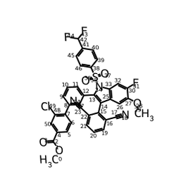 COC(=O)c1ccc(-c2cccc(-c3c(-c4c(C#N)cccc4C#N)c4cc(OC)c(F)cc4n3S(=O)(=O)c3ccc(C(F)F)cc3)c2)c(Cl)c1